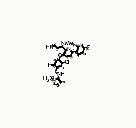 CN/C(=C\C=N)c1nc(-c2ccc(F)nc2F)ccc1Oc1cc(F)c(SNC2=CSCN2C)cc1Cl